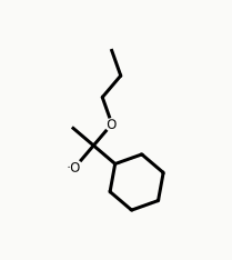 CCCOC(C)([O])C1CCCCC1